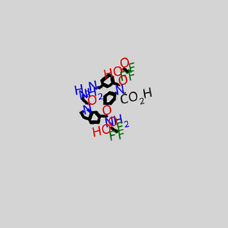 NCC(=O)N1CCc2ccc(C(N)=O)cc21.NCc1cccc(C(=O)N(CC(=O)O)c2ccccc2)c1.O=C(O)C(F)(F)F.O=C(O)C(F)(F)F